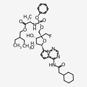 CCC(CC)COC(=O)[C@H](C)NP(=O)(OC[C@@]1(CF)O[C@@H](c2ccc3c(NC(=O)CC4CCCCC4)ncnn23)[C@H](O)[C@@H]1O)Oc1ccccc1